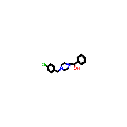 OC(CN1CCN(Cc2ccc(Cl)cc2)CC1)c1ccccc1